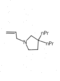 C=CCN1CCC(CCC)(CCC)C1